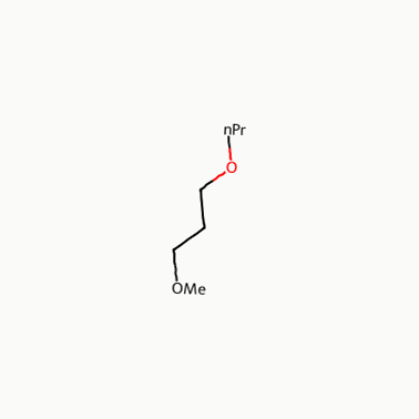 [CH2]CCOCCCOC